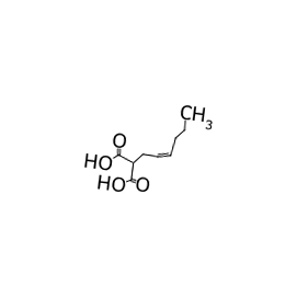 CCC/C=C\CC(C(=O)O)C(=O)O